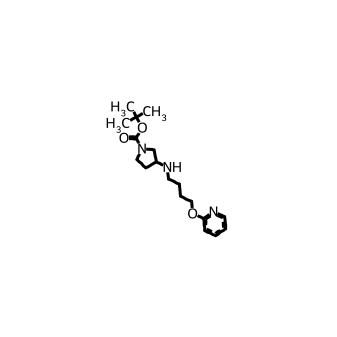 CC(C)(C)OC(=O)N1CCC(NCCCCOc2ccccn2)C1